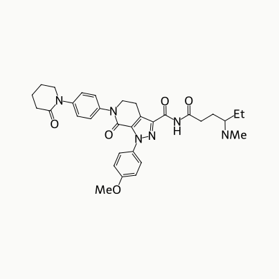 CCC(CCC(=O)NC(=O)c1nn(-c2ccc(OC)cc2)c2c1CCN(c1ccc(N3CCCCC3=O)cc1)C2=O)NC